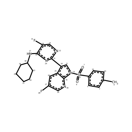 Cc1ccc(S(=O)(=O)n2cc(-c3ncc(F)c(NC4C[CH]CCC4)n3)c3cc(F)cnc32)cc1